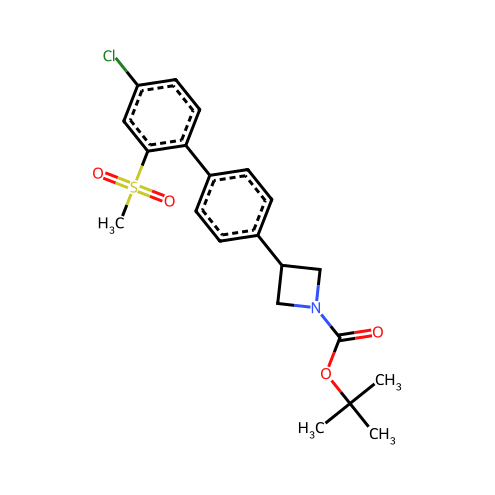 CC(C)(C)OC(=O)N1CC(c2ccc(-c3ccc(Cl)cc3S(C)(=O)=O)cc2)C1